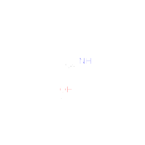 C[Se]O.N